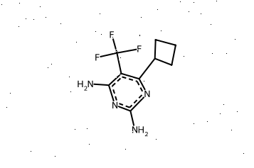 Nc1nc(N)c(C(F)(F)F)c(C2CCC2)n1